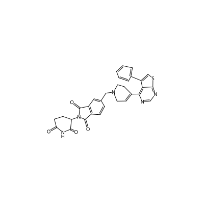 O=C1CCC(N2C(=O)c3ccc(CN4CC=C(c5ncnc6scc(-c7ccccc7)c56)CC4)cc3C2=O)C(=O)N1